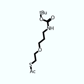 CC(=O)SCCOCCCNC(=O)OC(C)(C)C